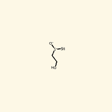 [O-][S+](S)CCO